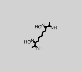 CC(=N)C(CCCCCC(=NO)C(C)=N)=NO